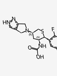 O=C(O)N[C@H]1C[C@@H](N2Cc3c[nH]nc3C2)CSC1c1cc(F)ccc1F